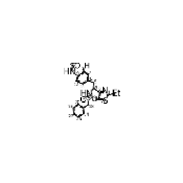 CCc1nc([C@H](Cc2ccc(NS(=O)(=O)O)cc2)NS(=O)(=O)Cc2ccccc2)cs1